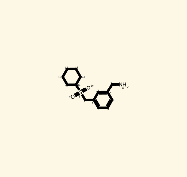 NCc1cccc(CS(=O)(=O)C2CCCCC2)c1